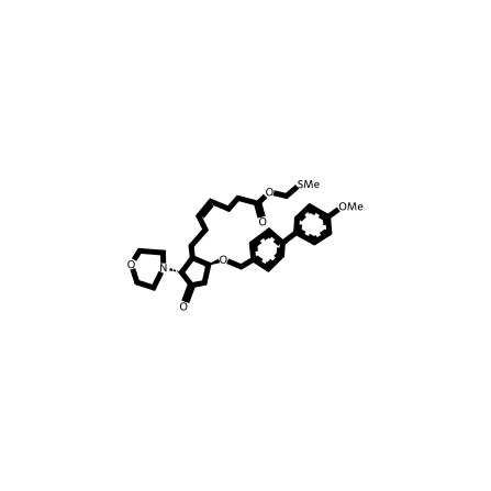 COc1ccc(-c2ccc(CO[C@H]3CC(=O)[C@H](N4CCOCC4)C3CC/C=C\CCC(=O)OCSC)cc2)cc1